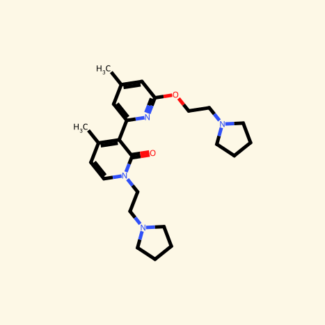 Cc1cc(OCCN2CCCC2)nc(-c2c(C)ccn(CCN3CCCC3)c2=O)c1